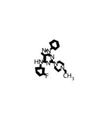 CCN1CCN(c2nc(Nc3cccc(F)c3)c3cnn(-c4ccccc4)c3n2)CC1